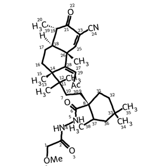 COCC(=O)NNC(=O)[C@]1(CCC(C)(C)[C@]2(C)CC[C@H]3[C@H](C)C(=O)C(C#N)=C[C@]3(C)/C2=C/C(C)=O)CCC(C)(C)CC1C